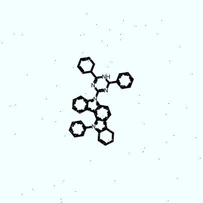 C1=CCC(C2=NC(n3c4ccccc4c4c5c(ccc43)c3c(n5-c4ccccc4)C=CCC3)=NC(c3ccccc3)N2)C=C1